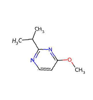 COc1c[c]nc(C(C)C)n1